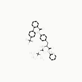 CC(C)(C)OC(=O)NC(Cc1ccc(NC(=O)c2ccccc2-c2ccc(C(F)(F)F)cc2)cc1)C(=O)Nc1ccccn1